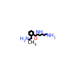 CC(N)Cc1ccccc1C(=O)C(N)CCCCN